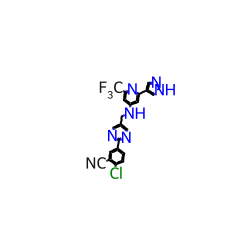 N#Cc1cc(-c2ncc(CNc3cc(-c4cn[nH]c4)nc(C(F)(F)F)c3)cn2)ccc1Cl